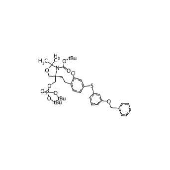 CC(C)(C)OC(=O)N1C(C)(C)OC[C@@]1(CCc1ccc(Sc2cccc(OCc3ccccc3)c2)cc1Cl)COP(=O)(OC(C)(C)C)OC(C)(C)C